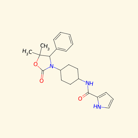 CC1(C)OC(=O)N(C2CCC(NC(=O)c3ccc[nH]3)CC2)C1c1ccccc1